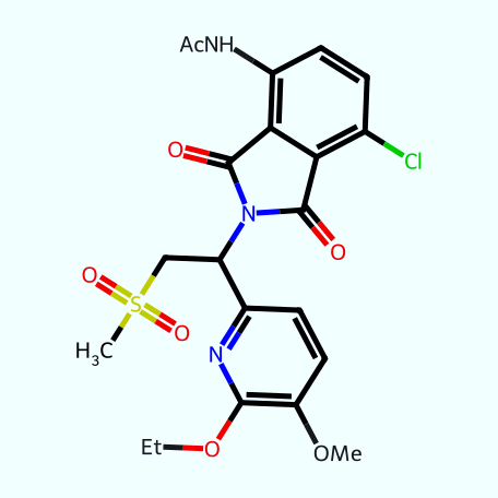 CCOc1nc(C(CS(C)(=O)=O)N2C(=O)c3c(Cl)ccc(NC(C)=O)c3C2=O)ccc1OC